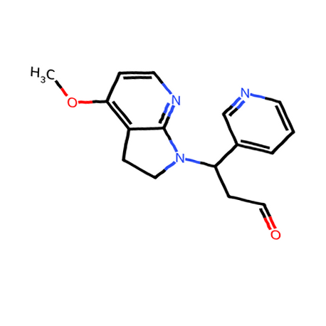 COc1ccnc2c1CCN2C(CC=O)c1cccnc1